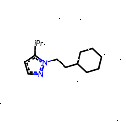 CC(C)c1ccnn1CCC1CCCCC1